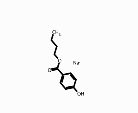 CCCCOC(=O)c1ccc(O)cc1.[Na]